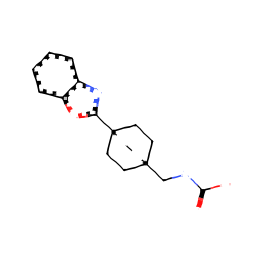 O=C(O)NCC12CCC(c3nc4ccccc4o3)(CC1)CC2